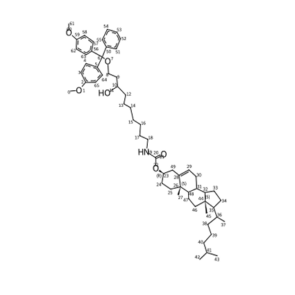 COc1ccc(C(OCCC(O)CCCCCCCNC(=O)O[C@@H]2CC[C@]3(C)C(=CCC4C5CCC(C(C)CCCC(C)C)[C@]5(C)CCC43)C2)(c2ccccc2)c2ccc(OC)cc2)cc1